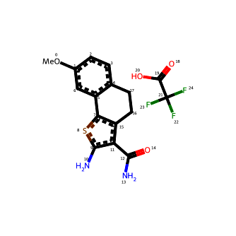 COc1ccc2c(c1)-c1sc(N)c(C(N)=O)c1CC2.O=C(O)C(F)(F)F